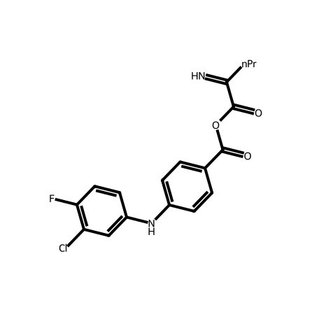 CCCC(=N)C(=O)OC(=O)c1ccc(Nc2ccc(F)c(Cl)c2)cc1